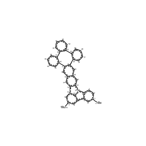 CC(C)(C)c1ccc2c(c1)c1cc(C(C)(C)C)cc3c4cc5cc6c(cc5cc4n2c13)-c1ccccc1-c1ccccc1-c1ccccc1-6